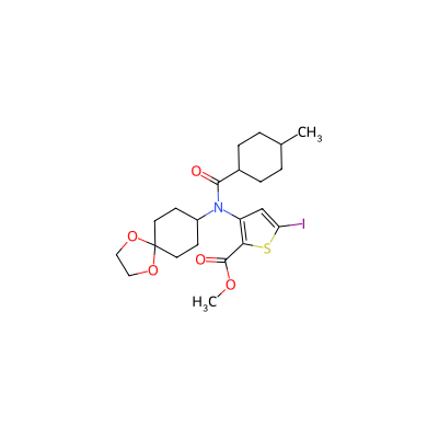 COC(=O)c1sc(I)cc1N(C(=O)C1CCC(C)CC1)C1CCC2(CC1)OCCO2